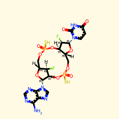 Nc1ncnc2c1ncn2[C@@H]1O[C@@H]2COP(=O)(S)O[C@H]3[C@@H](F)[C@H](n4ccc(=O)[nH]c4=O)O[C@@H]3COP(=O)(S)O[C@@H]1[C@@H]2F